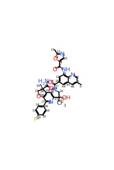 Cc1cnc2c(NC(=O)c3cnc(C)o3)cc(C(=O)NCC(O)(c3cc4c(c(-c5ccc(F)cc5)n3)OC[C@]4(C)C(N)=O)C(F)(F)F)cc2c1